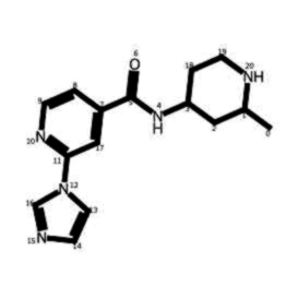 CC1CC(NC(=O)c2ccnc(-n3ccnc3)c2)CCN1